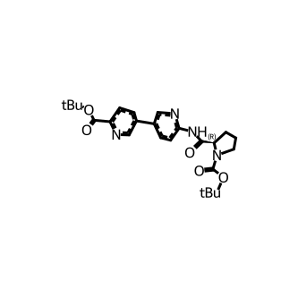 CC(C)(C)OC(=O)c1ccc(-c2ccc(NC(=O)[C@H]3CCCN3C(=O)OC(C)(C)C)nc2)cn1